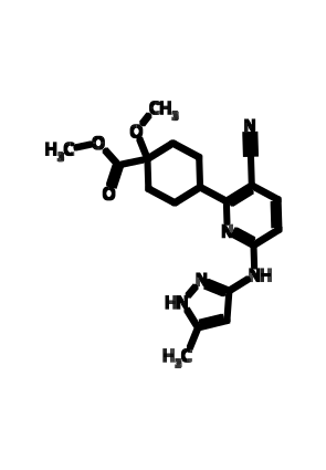 COC(=O)C1(OC)CCC(c2nc(Nc3cc(C)[nH]n3)ccc2C#N)CC1